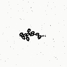 N#Cc1cccc(-c2cccc(-c3ccc4c5c(-c6ccccc6)c6c(cc7c8ccccc8c8cccc6c87)c(-c6ccccc6)c5c5cccc3c54)c2)c1